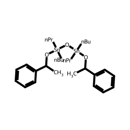 CCC[CH2][Sn]([CH2]CC)([O]C(C)c1ccccc1)[O][Sn]([CH2]CC)([CH2]CCC)[O]C(C)c1ccccc1